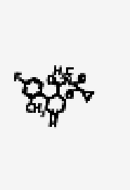 Cc1cc(F)ccc1C1CNCCC1C(=O)N(C)S(=O)(=O)C1CC1